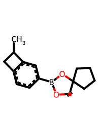 CC1Cc2ccc(B3OC4(CCCC4)C4(CCCC4)O3)cc21